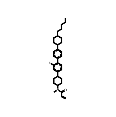 C=CC(=O)N(C)C1CCC(c2ccc(-c3ccc(C4CCC(CCCCC)CC4)cc3)c(F)c2)CC1